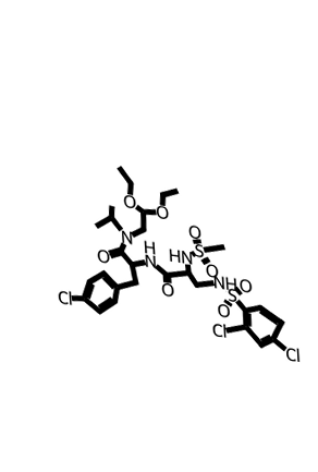 CCOC(CN(C(=O)C(Cc1ccc(Cl)cc1)NC(=O)C(CNS(=O)(=O)c1ccc(Cl)cc1Cl)NS(C)(=O)=O)C(C)C)OCC